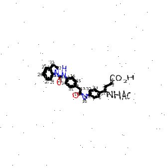 CC(=O)NC(CCC(=O)O)c1ccc(N(C)C(=O)Cc2ccc(NC(=O)N3CCc4ccccc43)cc2)cc1